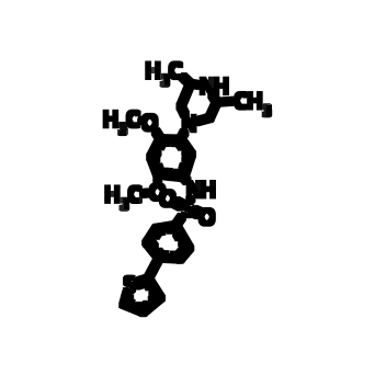 COc1cc(OC)c(N2CC(C)NC(C)C2)cc1NS(=O)(=O)c1ccc(-c2cccs2)cc1